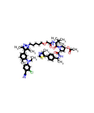 CCN(c1ccc(C#N)c(Cl)c1)c1cc(-c2c(C)nn(CCCCCOCC(=O)N[C@H](C(=O)N3C[C@H](OC(C)=O)C[C@H]3C(=O)N[C@@H](C)c3ccc(-c4scnc4C)cc3)C(C)(C)C)c2C)ccc1C